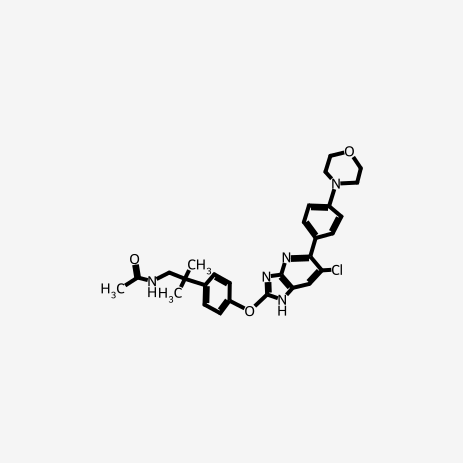 CC(=O)NCC(C)(C)c1ccc(Oc2nc3nc(-c4ccc(N5CCOCC5)cc4)c(Cl)cc3[nH]2)cc1